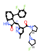 Cc1cc(C(=O)N2CCC[C@H]2CN2CC[C@H](F)C2)c(/C=C2\C(=O)Nc3cccc(-c4cccc(F)c4F)c32)[nH]1